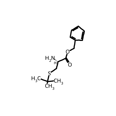 CC(C)(C)SC[C@H](N)C(=O)OCc1ccccc1